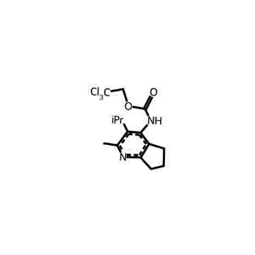 Cc1nc2c(c(NC(=O)OCC(Cl)(Cl)Cl)c1C(C)C)CCC2